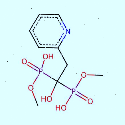 COP(=O)(O)C(O)(Cc1ccccn1)P(=O)(O)OC